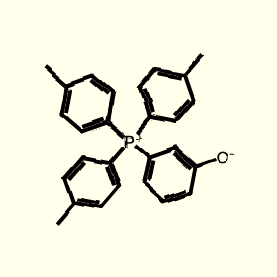 Cc1ccc([P+](c2ccc(C)cc2)(c2ccc(C)cc2)c2cccc([O-])c2)cc1